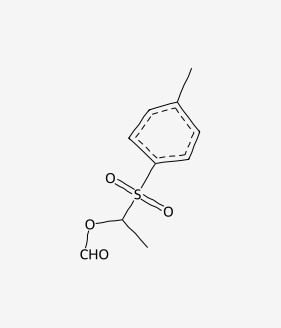 Cc1ccc(S(=O)(=O)C(C)OC=O)cc1